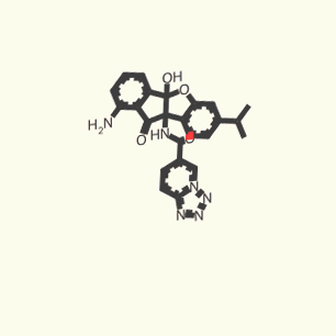 CC(C)c1ccc2c(c1)OC1(O)c3cccc(N)c3C(=O)C21NC(=O)c1ccc2nnnn2c1